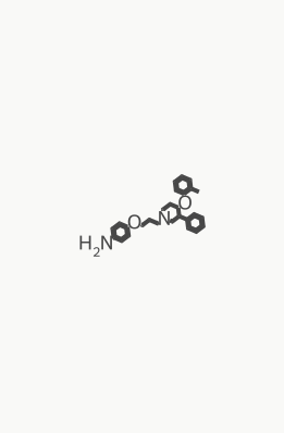 Cc1ccccc1OC1CCN(CCCOc2ccc(N)cc2)CC1c1ccccc1